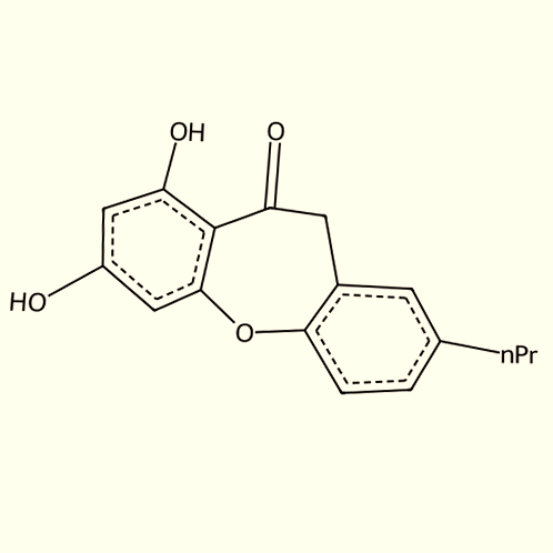 CCCc1ccc2c(c1)CC(=O)c1c(O)cc(O)cc1O2